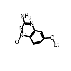 CCOc1ccc2c(c1)nc(N)n[n+]2[O-]